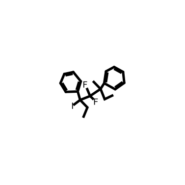 CCC(C)(c1ccccc1)C(F)(F)C(I)(CC)c1ccccc1